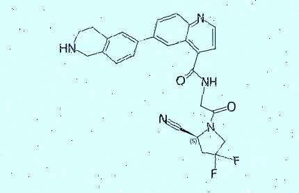 N#C[C@@H]1CC(F)(F)CN1C(=O)CNC(=O)c1ccnc2ccc(-c3ccc4c(c3)CCNC4)cc12